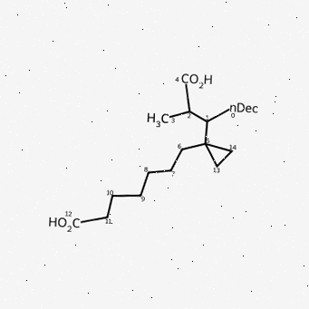 CCCCCCCCCCC(C(C)C(=O)O)C1(CCCCCCC(=O)O)CC1